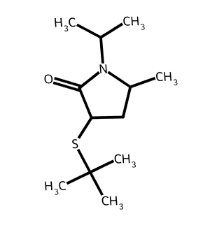 CC(C)N1C(=O)C(SC(C)(C)C)CC1C